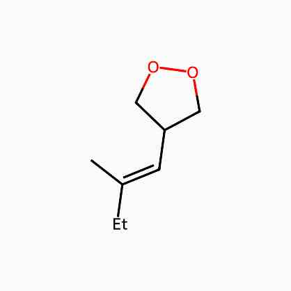 CCC(C)=CC1COOC1